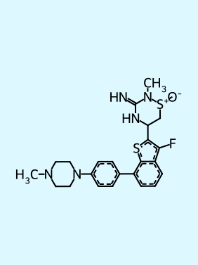 CN1CCN(c2ccc(-c3cccc4c(F)c(C5C[S+]([O-])N(C)C(=N)N5)sc34)cc2)CC1